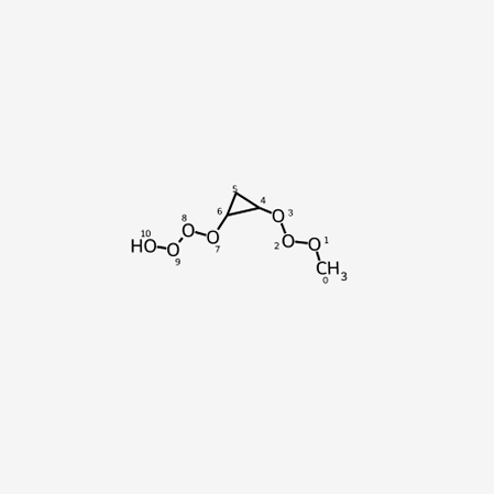 COOOC1CC1OOOO